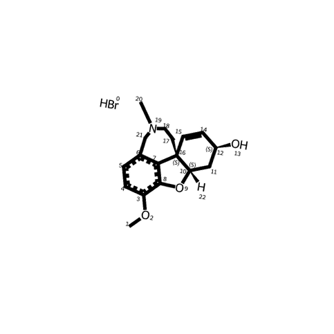 Br.COc1ccc2c3c1O[C@H]1C[C@H](O)C=C[C@@]31CCN(C)C2